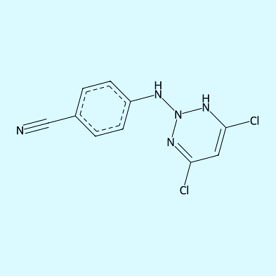 N#Cc1ccc(NN2N=C(Cl)C=C(Cl)N2)cc1